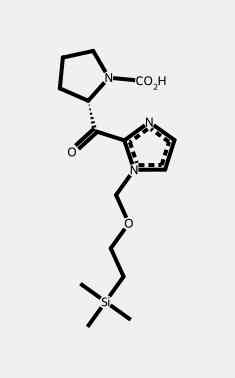 C[Si](C)(C)CCOCn1ccnc1C(=O)[C@@H]1CCCN1C(=O)O